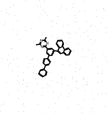 Cc1nc(C)nc(-c2cc(-c3ccc(-c4ccccc4)cc3)cc(-c3cc4ccccc4c4ccccc34)c2)n1